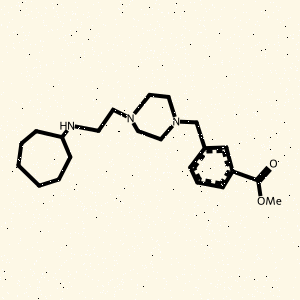 COC(=O)c1cccc(CN2CCN(CCNC3CCCCCC3)CC2)c1